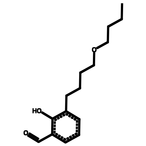 CCCCOCCCCc1cccc(C=O)c1O